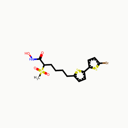 CS(=O)(=O)C(CCCCc1ccc(-c2ccc(Br)s2)s1)C(=O)NO